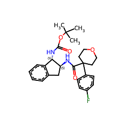 CC(C)(C)OC(=O)N[C@H]1c2ccccc2C[C@@H]1NC(=O)C1(c2ccc(F)cc2)CCOCC1